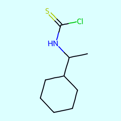 CC(NC(=S)Cl)C1CCCCC1